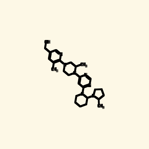 Cc1cc(CO)cnc1N1CCN(c2cc(N3CCCCC3N3CCCC3C)ncn2)C(C)C1